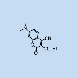 CCOC(=O)c1c(C#N)c2ccc(N(C)C)cc2oc1=O